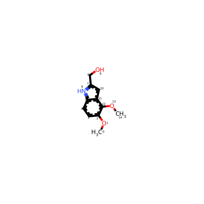 COc1ccc2[nH]c(CO)cc2c1OC